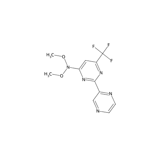 CON(OC)c1cc(C(F)(F)F)nc(-c2cnccn2)n1